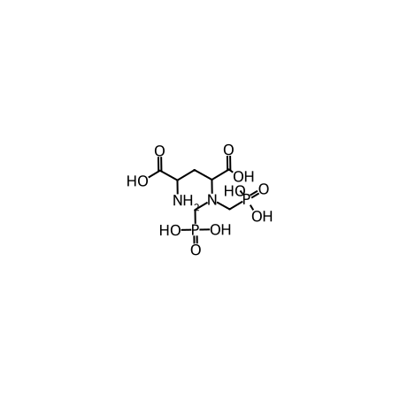 NC(CC(C(=O)O)N(CP(=O)(O)O)CP(=O)(O)O)C(=O)O